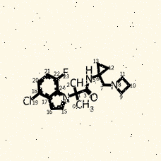 CC(C)(C(=O)NC1(CN2CCC2)CC1)n1ccc2c(Cl)ccc(F)c21